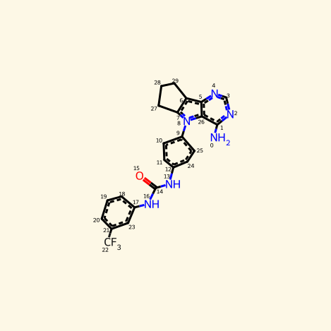 Nc1ncnc2c3c(n(-c4ccc(NC(=O)Nc5cccc(C(F)(F)F)c5)cc4)c12)CCC3